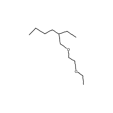 CCCCC(CC)COCCOCC